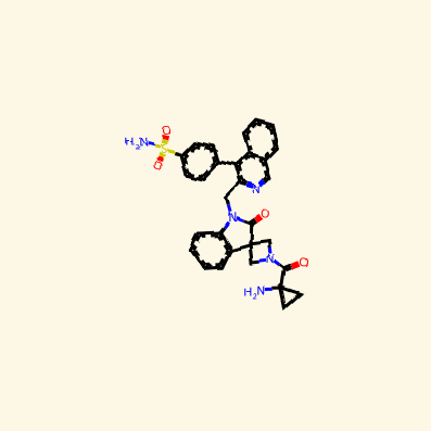 NC1(C(=O)N2CC3(C2)C(=O)N(Cc2ncc4ccccc4c2-c2ccc(S(N)(=O)=O)cc2)c2ccccc23)CC1